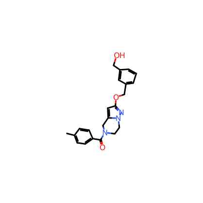 Cc1ccc(C(=O)N2CCn3nc(OCc4cccc(CO)c4)cc3C2)cc1